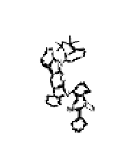 CC1(C)CC(C)(C)c2c(-n3c4ccccc4c4cc5c6ccccc6n(-c6cccc7oc(-c8ccccc8)nc67)c5cc43)cccc21